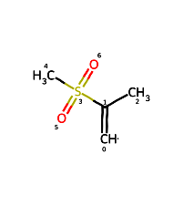 [CH]=C(C)S(C)(=O)=O